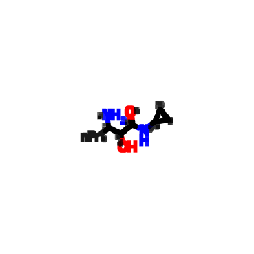 CCCC(N)[C@H](O)C(=O)NC1CC1